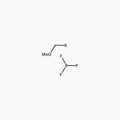 CO[CH2][K].FB(F)F